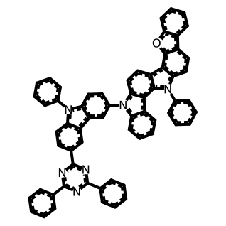 c1ccc(-c2nc(-c3ccccc3)nc(-c3ccc4c(c3)c3cc(-n5c6ccccc6c6c5ccc5c7c8oc9ccccc9c8ccc7n(-c7ccccc7)c56)ccc3n4-c3ccccc3)n2)cc1